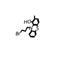 Cc1ccc2c(c1O)N(CCCBr)c1ccccc1S2